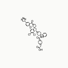 COc1ccc(C2C=NN=N2)cc1C(=O)N1CC[C@](CCN2CCC(NC(=O)N3CCN(CC(=O)O)CC3)(c3ccccc3)CC2)(c2ccc(Cl)c(Cl)c2)C1